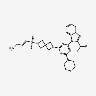 NCC=CS(=O)(=O)N1CC2(CN(c3nc(N4CCOCC4)nc(-n4c(C(F)F)nc5ccccc54)n3)C2)C1